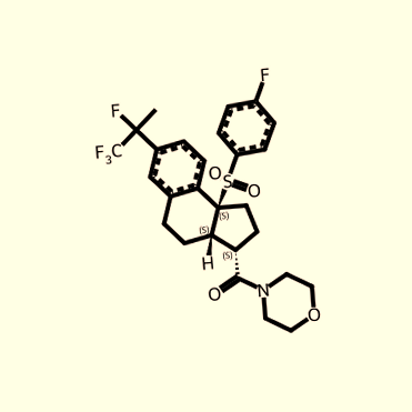 CC(F)(c1ccc2c(c1)CC[C@H]1[C@@H](C(=O)N3CCOCC3)CC[C@@]21S(=O)(=O)c1ccc(F)cc1)C(F)(F)F